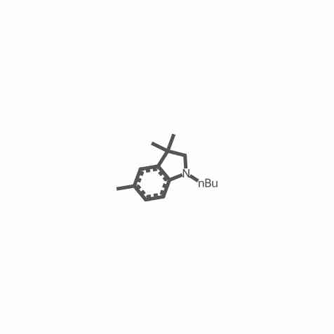 CCCCN1CC(C)(C)c2cc(C)ccc21